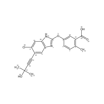 Cc1ccc(Oc2nc3cc(C#CC(C)(C)O)c(Cl)cc3[nH]2)cc1C(=O)O